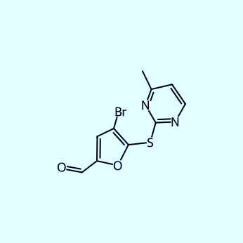 Cc1ccnc(Sc2oc(C=O)cc2Br)n1